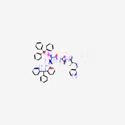 O=C(O)C1=C(/C=C\c2cccnc2)CS[C@@H]2[C@H](NC(=O)/C(=N/OC(c3ccccc3)(c3ccccc3)c3ccccc3)c3csc(NC(c4ccccc4)(c4ccccc4)c4ccccc4)n3)C(=O)N12